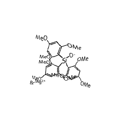 COc1cc(OC)c([Si]([O-])(c2c(OC)cc(OC)cc2OC)c2c(OC)cc(OC)cc2OC)c(OC)c1.[Br-].[Mg+2]